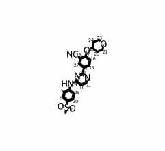 CS(=O)(=O)c1ccc(Nc2ccnc(-c3ccc(OC4CCOCC4)c(C#N)c3)n2)cc1